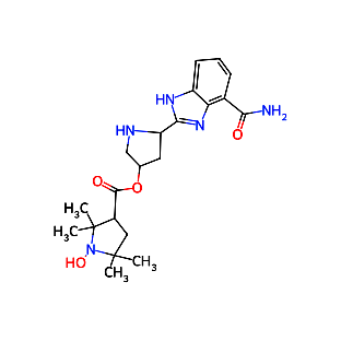 CC1(C)CC(C(=O)OC2CNC(c3nc4c(C(N)=O)cccc4[nH]3)C2)C(C)(C)N1O